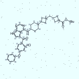 CC(C)(C)OC(=O)N1CC(CN2CC(N3CCC(Nc4ncnc5[nH]cc(C(=O)c6ccc(Oc7ccccc7)cc6Cl)c45)CC3)C2)C1